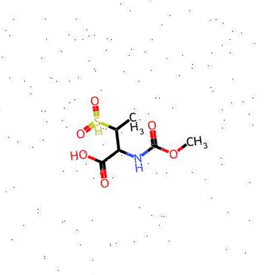 COC(=O)NC(C(=O)O)C(C)[SH](=O)=O